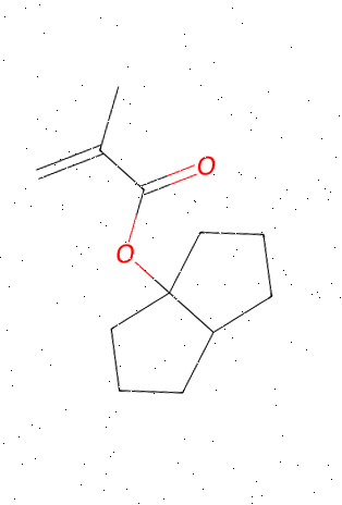 C=C(C)C(=O)OC12CCCC1CCC2